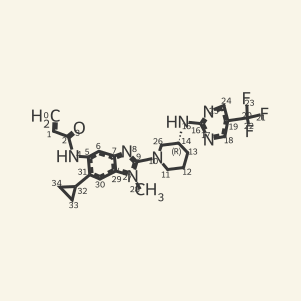 C=CC(=O)Nc1cc2nc(N3CCC[C@@H](Nc4ncc(C(F)(F)F)cn4)C3)n(C)c2cc1C1CC1